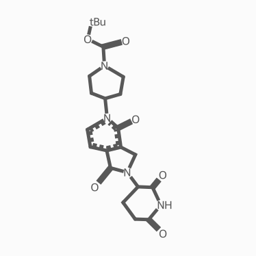 CC(C)(C)OC(=O)N1CCC(n2ccc3c(c2=O)CN(C2CCC(=O)NC2=O)C3=O)CC1